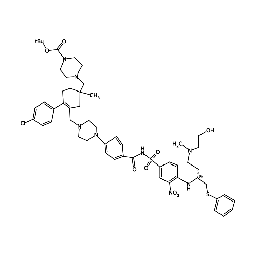 CN(CCO)CC[C@H](CSc1ccccc1)Nc1ccc(S(=O)(=O)NC(=O)c2ccc(N3CCN(CC4=C(c5ccc(Cl)cc5)CCC(C)(CN5CCN(C(=O)OC(C)(C)C)CC5)C4)CC3)cc2)cc1[N+](=O)[O-]